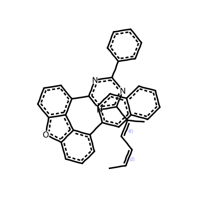 C/C=C\C=C(/C)c1nc(-c2ccccc2)nc(-c2cccc3oc4cccc(-c5ccc6ccccc6c5)c4c23)n1